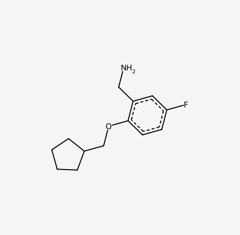 NCc1cc(F)ccc1OCC1CCCC1